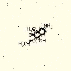 C=CCOc1c(O)c2ccc(N)cc2n(C)c1=O